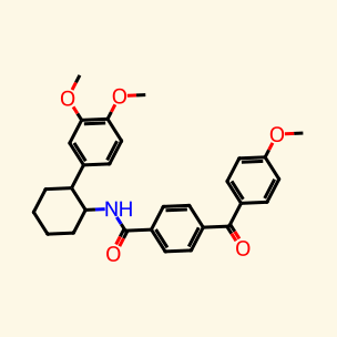 COc1ccc(C(=O)c2ccc(C(=O)NC3CCCCC3c3ccc(OC)c(OC)c3)cc2)cc1